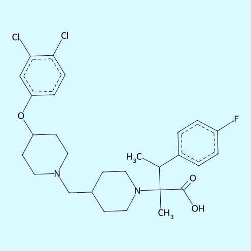 CC(c1ccc(F)cc1)C(C)(C(=O)O)N1CCC(CN2CCC(Oc3ccc(Cl)c(Cl)c3)CC2)CC1